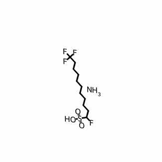 N.O=S(=O)(O)C(F)CCCCCCCCCC(F)(F)F